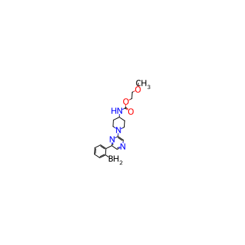 Bc1ccccc1-c1cncc(N2CCC(NC(=O)OCCOC)CC2)n1